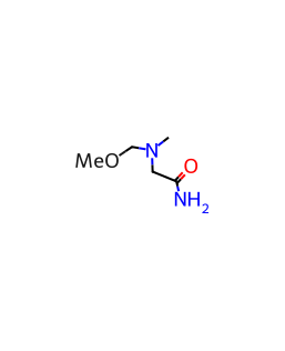 COCN(C)CC(N)=O